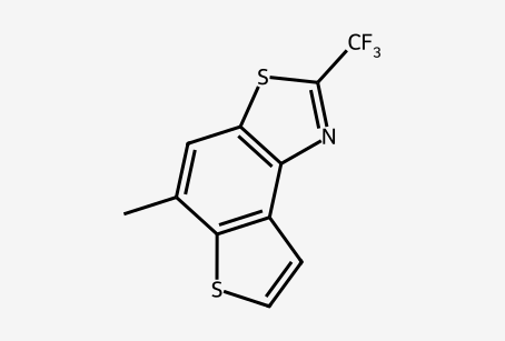 Cc1cc2sc(C(F)(F)F)nc2c2ccsc12